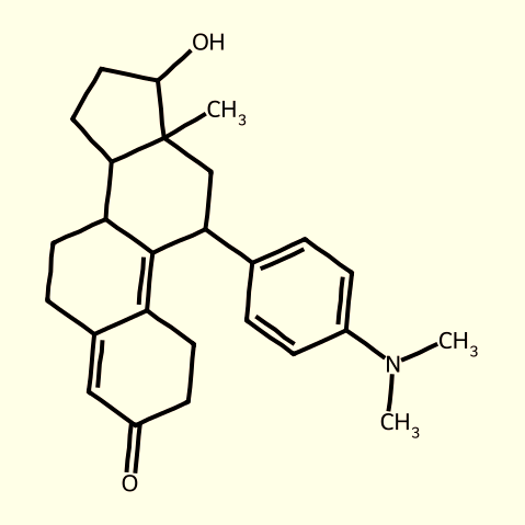 CN(C)c1ccc(C2CC3(C)C(O)CCC3C3CCC4=CC(=O)CCC4=C23)cc1